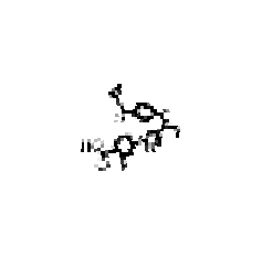 CCC(Oc1ccc(C(=O)C2CC2)cc1)c1cnn(-c2ccc(C(=O)O)c(F)c2)c1